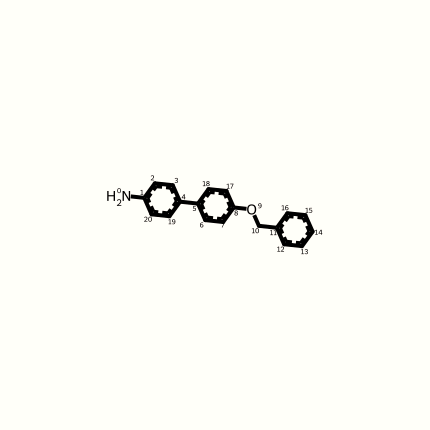 Nc1ccc(-c2ccc(OCc3ccccc3)cc2)cc1